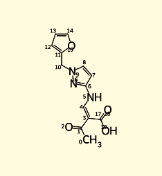 CC(=O)C(=CNc1ccn(Cc2ccco2)n1)C(=O)O